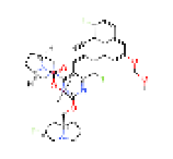 C#Cc1c(F)ccc2cc(OCOC)cc(-c3ccc4c(N5C[C@H]6CC[C@@H](C5)N6C(=O)OC(C)(C)C)nc(OC[C@@]56CCCN5C[C@H](F)C6)nc4c3F)c12